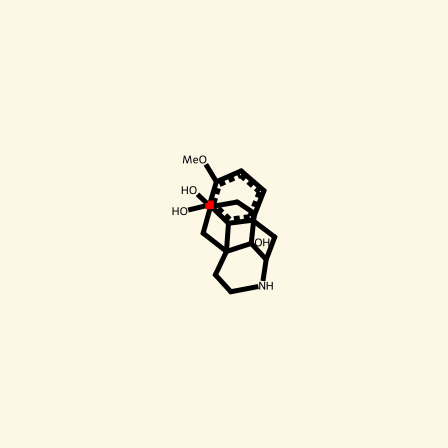 COc1ccc2c(c1O)C13CCNC(C2)C1(O)CCC(O)C3